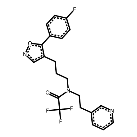 O=C(N(CCCc1cnoc1-c1ccc(F)cc1)CCc1cccnc1)C(F)(F)F